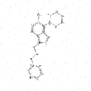 Oc1ccc2c(ccn2CCCc2ccccc2)c1N1CCCCC1